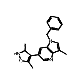 CC1=C(c2cnc3c(C)cn(Cc4ccccc4)c3c2)C(C)NO1